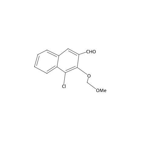 COCOc1c(C=O)cc2ccccc2c1Cl